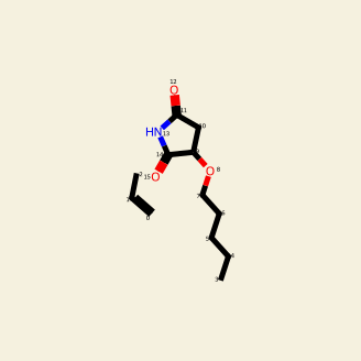 C=CC.CCCCCOC1CC(=O)NC1=O